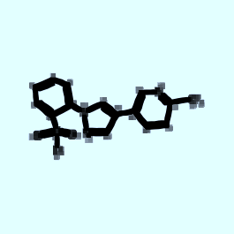 CCS(=O)(=O)c1ccccc1-n1cc(-c2ccc(C(F)(F)F)nc2)cn1